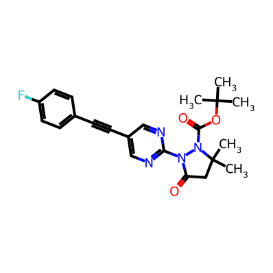 CC(C)(C)OC(=O)N1N(c2ncc(C#Cc3ccc(F)cc3)cn2)C(=O)CC1(C)C